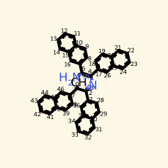 C=C(/C(=N\C(=C(/N)c1ccc2ccccc2c1)c1ccc2ccccc2c1)c1ccc2ccccc2c1)c1ccc2ccccc2c1